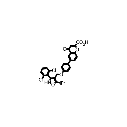 CC(C)C1=C(COc2ccc(-c3ccc4oc(C(=O)O)cc(=O)c4c3)cc2)C(c2c(Cl)cccc2Cl)NO1